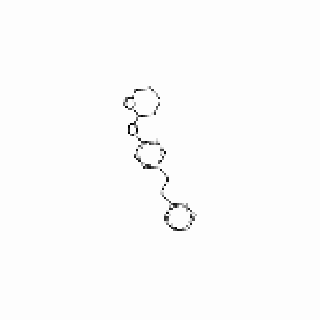 c1ccc(CCc2ccc(OC3CCCCO3)cc2)cc1